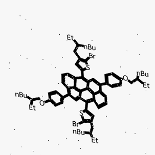 CCCCC(CC)COc1ccc(-c2cc3c(-c4cc(CC(CC)CCCC)c(Br)s4)c4cccc5c(-c6ccc(OCC(CC)CCCC)cc6)cc6c(-c7cc(CC(CC)CCCC)c(Br)s7)c7cccc2c7c3c6c54)cc1